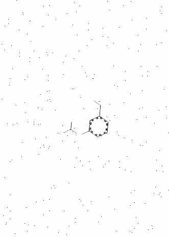 C[C@@H](N)c1cccc(OC(F)F)c1